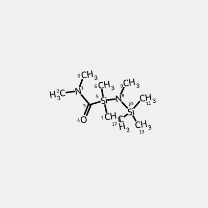 CN(C)C(=O)[Si](C)(C)N(C)[Si](C)(C)C